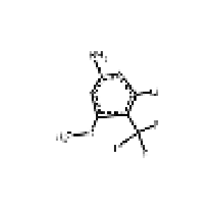 COc1cc(N)nc(Cl)c1C(F)(F)F